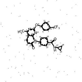 Cc1nc(Oc2ccc(C(F)(F)F)cc2)nc2c1ccc(=O)n2-c1ccc(C(=O)NC2CC2)cc1